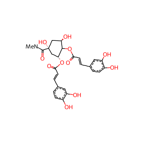 CNC(=O)[C@@]1(O)C[C@@H](O)C(OC(=O)/C=C/c2ccc(O)c(O)c2)[C@H](OC(=O)/C=C/c2ccc(O)c(O)c2)C1